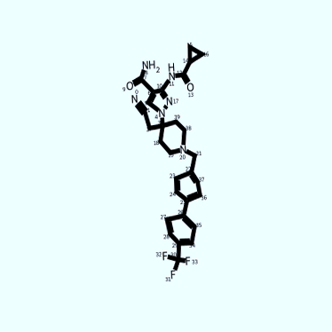 N#CCC1(n2cc(C(N)=O)c(NC(=O)C3CC3)n2)CCN(Cc2ccc(-c3ccc(C(F)(F)F)cc3)cc2)CC1